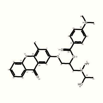 CCCN(CC(COc1cc(C)c2sc3ccccc3c(=O)c2c1)OC(=O)c1ccc(N(C)C)cc1)C(C)O